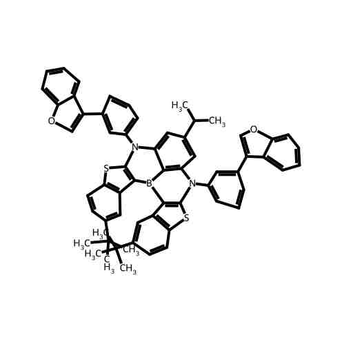 CC(C)c1cc2c3c(c1)N(c1cccc(-c4coc5ccccc45)c1)c1sc4ccc(C(C)(C)C)cc4c1B3c1c(sc3ccc(C(C)(C)C)cc13)N2c1cccc(-c2coc3ccccc23)c1